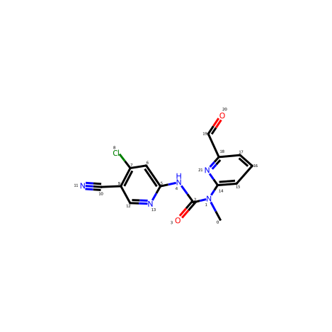 CN(C(=O)Nc1cc(Cl)c(C#N)cn1)c1cccc(C=O)n1